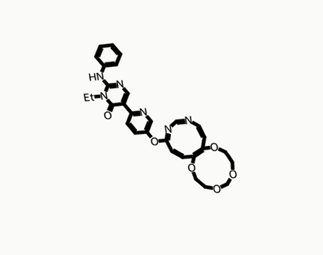 CCn1c(Nc2ccccc2)ncc(-c2ccc(Oc3ccc4c(ccncn3)OCCOCOCCO4)cn2)c1=O